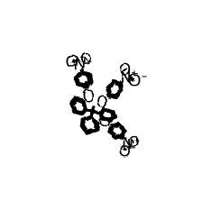 CC(c1ccccc1Oc1ccc([N+](=O)[O-])cc1)(c1ccccc1Oc1ccc([N+](=O)[O-])cc1)c1ccccc1Oc1ccc([N+](=O)[O-])cc1